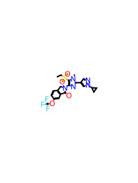 CCS(=O)(=O)c1c(N2Cc3ccc(OC(F)(F)F)cc3C2=O)nc(-c2cnn(C3CC3)c2)n1C